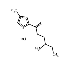 CCC(N)CCC(=O)c1cc(C)cs1.Cl